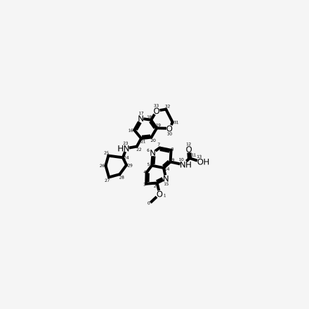 COc1ccc2nccc(NC(=O)O)c2n1.c1nc2c(cc1CNC1CCCCC1)OCCO2